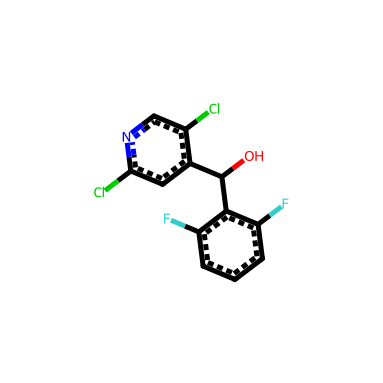 OC(c1cc(Cl)ncc1Cl)c1c(F)cccc1F